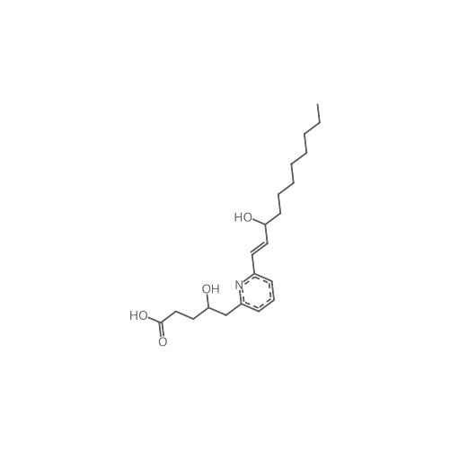 CCCCCCCCC(O)C=Cc1cccc(CC(O)CCC(=O)O)n1